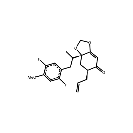 C=CC[C@H]1C[C@]2(C(C)Cc3cc(F)c(OC)cc3F)OCOC2=CC1=O